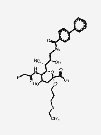 CCSCCCO[C@]1(C(=O)O)CC(O)[C@@H](NC(=O)CF)[C@H]([C@H](O)[C@H](O)CNC(=O)c2ccc(-c3ccccc3)cc2)O1